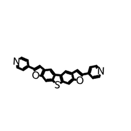 c1cc(-c2cc3cc4c(cc3o2)sc2cc3oc(-c5ccncc5)cc3cc24)ccn1